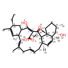 CC[C@H]1CC2/C(O)=C(\C(=O)O)C(=O)[C@@]3(CC)[C@@H]4CC[C@H](C)[C@H](O)[C@H]4C=C[C@H]3C/C=C/C/C(C)=C/[C@@]2(C)C=C1C